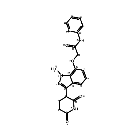 Cn1nc(C2CCC(=O)NC2=O)c2cccc(OCC(=O)Nc3ccccn3)c21